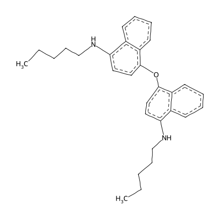 CCCCCNc1ccc(Oc2ccc(NCCCCC)c3ccccc23)c2ccccc12